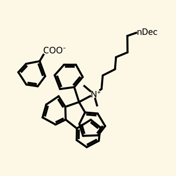 CCCCCCCCCCCCCCCC[N+](C)(C)C(c1ccccc1)(c1ccccc1)c1ccccc1-c1ccccc1.O=C([O-])c1ccccc1